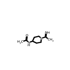 CC(=N)N1CCC(NC(C)=O)CC1